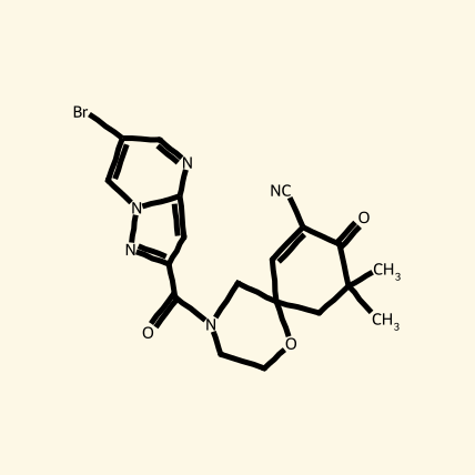 CC1(C)CC2(C=C(C#N)C1=O)CN(C(=O)c1cc3ncc(Br)cn3n1)CCO2